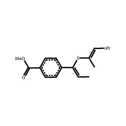 C/C=C(\S/C(C)=C/CCC)c1ccc(C(=O)OC)cc1